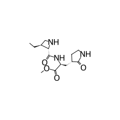 CC[C@H]1CN[C@@H]1C(=O)N[C@@H](C[C@@H]1CCNC1=O)C(=O)OC